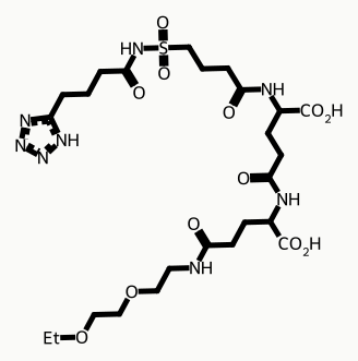 CCOCCOCCNC(=O)CCC(NC(=O)CCC(NC(=O)CCCS(=O)(=O)NC(=O)CCCc1nnn[nH]1)C(=O)O)C(=O)O